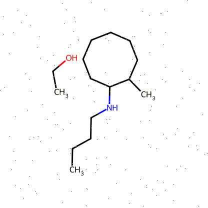 CCCCNC1CCCCCCC1C.CCO